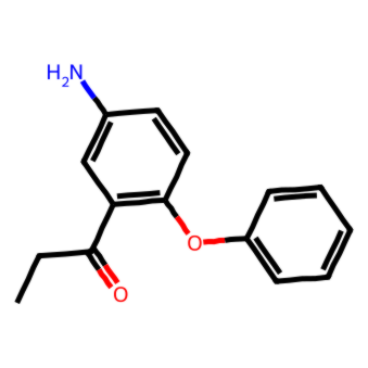 CCC(=O)c1cc(N)ccc1Oc1ccccc1